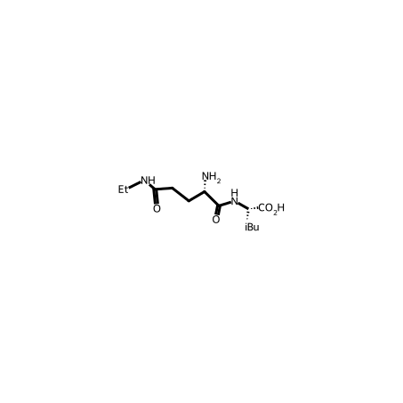 CCNC(=O)CC[C@H](N)C(=O)N[C@H](C(=O)O)[C@@H](C)CC